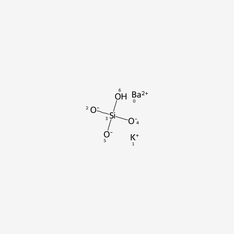 [Ba+2].[K+].[O-][Si]([O-])([O-])O